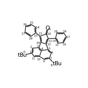 CC(C)(C)c1cc2c3c(cc(C(C)(C)C)cc3c1)C1=C(c3ccccc3)C(=O)C(c3ccccc3)=C12